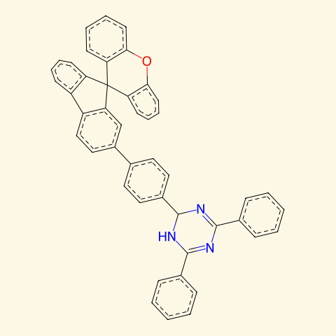 c1ccc(C2=NC(c3ccc(-c4ccc5c(c4)C4(c6ccccc6Oc6ccccc64)c4ccccc4-5)cc3)NC(c3ccccc3)=N2)cc1